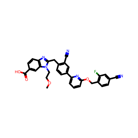 COCCn1c(Cc2ccc(-c3cccc(OCc4ccc(C#N)cc4F)n3)cc2C#N)nc2ccc(C(=O)O)cc21